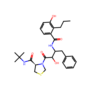 CCCc1c(O)cccc1C(=O)NC(Cc1ccccc1)C(O)C(=O)N1CSC[C@H]1C(=O)NC(C)(C)C